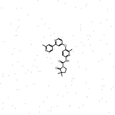 Cc1cc(-c2cc(Oc3ccc(NC(=O)N4CCC(C)(C)C4=O)nc3C)ccn2)ccn1